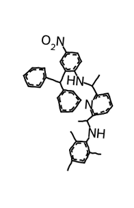 Cc1cc(C)c(NC(C)c2cccc(C(C)Nc3ccc([N+](=O)[O-])cc3C(c3ccccc3)c3ccccc3)n2)c(C)c1